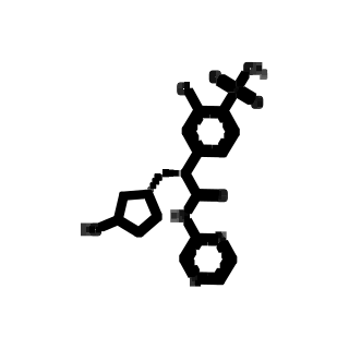 CS(=O)(=O)c1ccc([C@@H](C[C@@H]2CCC(O)C2)C(=O)Nc2cnccn2)cc1Cl